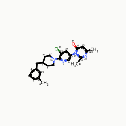 Cc1cccc(CC2CCN(c3ncc(-n4c(C)nc(C)cc4=O)cc3Cl)CC2)c1